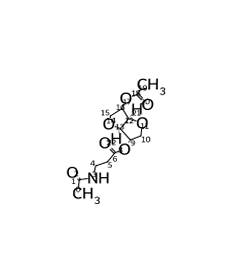 CC(=O)NCCC(=O)O[C@H]1CO[C@H]2[C@@H]1OC[C@H]2OC(C)=O